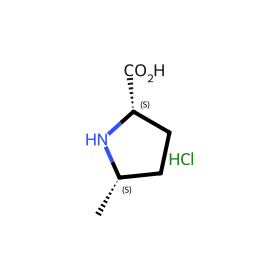 C[C@H]1CC[C@@H](C(=O)O)N1.Cl